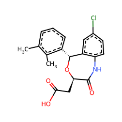 Cc1cccc([C@H]2O[C@H](CC(=O)O)C(=O)Nc3ccc(Cl)cc32)c1C